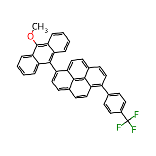 COc1c2ccccc2c(-c2ccc3ccc4c(-c5ccc(C(F)(F)F)cc5)ccc5ccc2c3c54)c2ccccc12